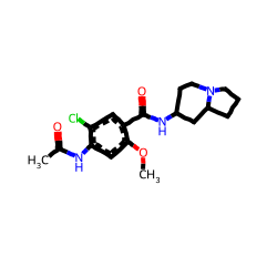 COc1cc(NC(C)=O)c(Cl)cc1C(=O)NC1CCN2CCCC2C1